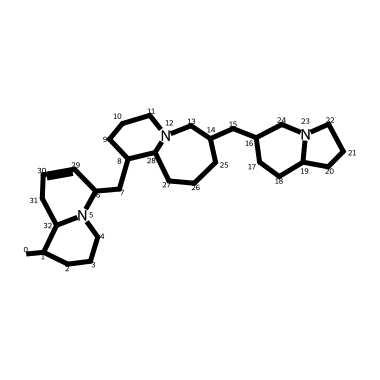 CC1CCCN2C(CC3CCCN4CC(CC5CCC6CCCN6C5)CCCC34)C=CCC12